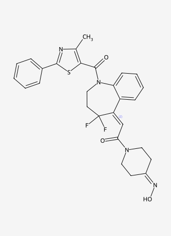 Cc1nc(-c2ccccc2)sc1C(=O)N1CCC(F)(F)/C(=C\C(=O)N2CCC(=NO)CC2)c2ccccc21